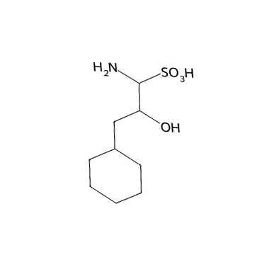 NC(C(O)CC1CCCCC1)S(=O)(=O)O